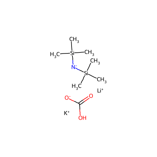 C[Si](C)(C)[N-][Si](C)(C)C.O=C([O-])O.[K+].[Li+]